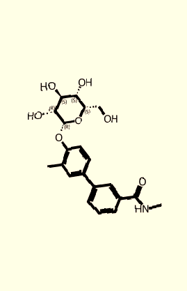 CNC(=O)c1cccc(-c2ccc(O[C@H]3O[C@@H](CO)[C@@H](O)[C@H](O)[C@H]3O)c(C)c2)c1